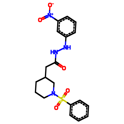 O=C(CC1CCCN(S(=O)(=O)c2ccccc2)C1)NNc1cccc([N+](=O)[O-])c1